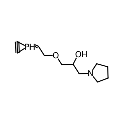 OC(COCC=[PH]1C#C1)CN1CCCC1